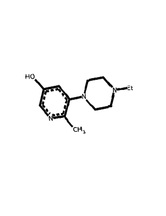 CCN1CCN(c2cc(O)cnc2C)CC1